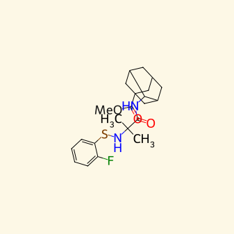 COC(=O)C12CC3CC(C1)C(NC(=O)C(C)(C)NSc1ccccc1F)C(C3)C2